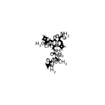 CC(C)(C)[C@@H](CNC(=O)C1(N)CC1)NC(=O)NCC(=O)N1C[C@]2(C[C@H]1C(=O)NC(CC1CCC1)C(=O)C(N)=O)C(C)(C)C21CCC1